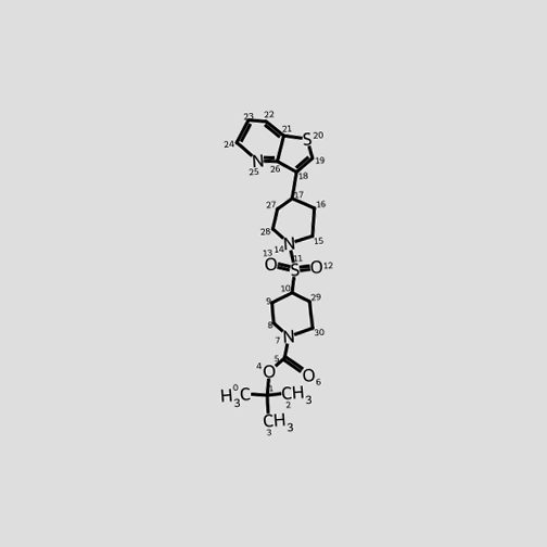 CC(C)(C)OC(=O)N1CCC(S(=O)(=O)N2CCC(c3csc4cccnc34)CC2)CC1